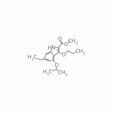 CCCOc1c(C(=O)OC)[nH]c2cc(CC)cc(OC(C)C)c12